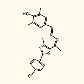 CC(=NN=Cc1cc(C)c(O)c(C)c1)c1sc(-c2ccc(Cl)cc2)nc1C